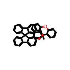 CC1(C)c2ccccc2Oc2cccc(-c3cccc4c3C3(c5ccccc5-4)c4ccccc4-c4ccc5ccccc5c43)c21